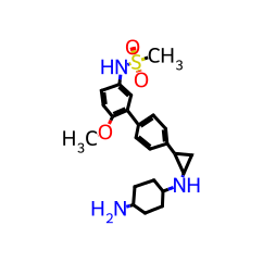 COc1ccc(NS(C)(=O)=O)cc1-c1ccc(C2CC2NC2CCC(N)CC2)cc1